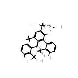 CCC(C)(C)c1cc(C(C)(C)CC)c(OP(O)O)c(-c2cccc(C)c2C(C)(C)CC)c1Cc1cccc(C)c1C(C)(C)CC